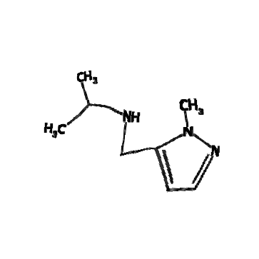 CC(C)NCc1ccnn1C